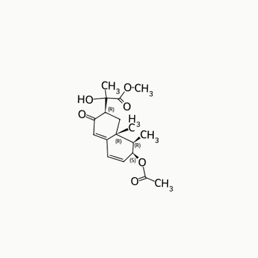 COC(=O)C(C)(O)[C@H]1C[C@@]2(C)C(=CC1=O)C=C[C@H](OC(C)=O)[C@@H]2C